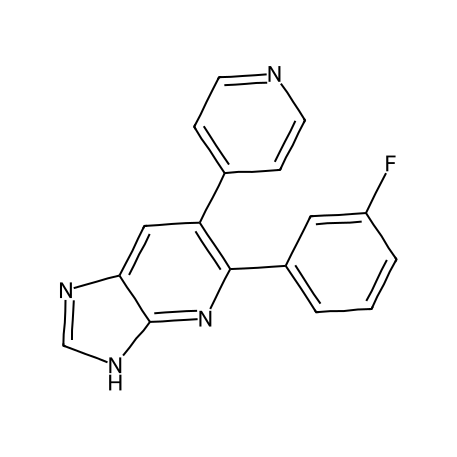 Fc1cccc(-c2nc3[nH]cnc3cc2-c2ccncc2)c1